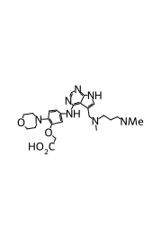 CNCCCN(C)Cc1c[nH]c2ncnc(Nc3ccc(N4CCOCC4)c(OCC(=O)O)c3)c12